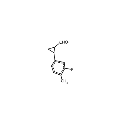 Cc1ccc(C2CC2[C]=O)cc1F